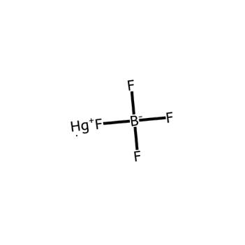 F[B-](F)(F)F.[Hg+]